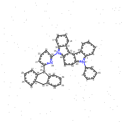 c1ccc(-n2c3ccccc3c3c4c5ccccc5n(-c5cccc(B6c7ccccc7Cc7ccccc76)n5)c4ccc32)cc1